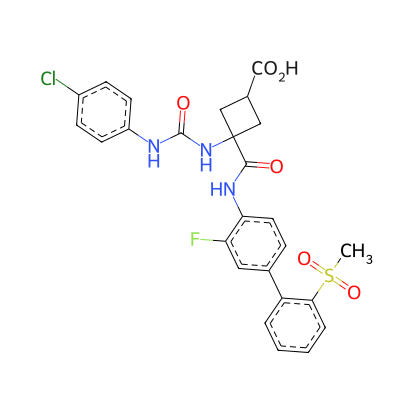 CS(=O)(=O)c1ccccc1-c1ccc(NC(=O)C2(NC(=O)Nc3ccc(Cl)cc3)CC(C(=O)O)C2)c(F)c1